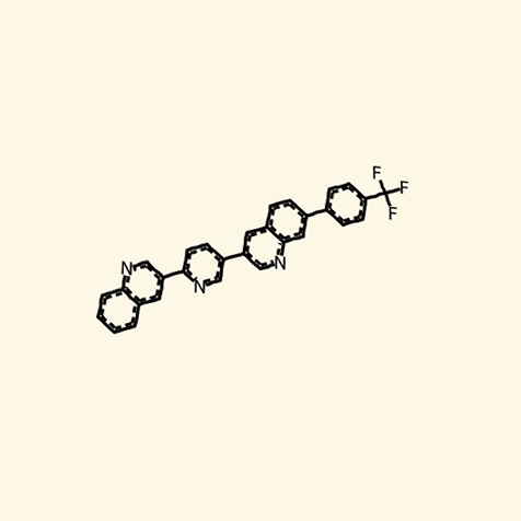 FC(F)(F)c1ccc(-c2ccc3cc(-c4ccc(-c5cnc6ccccc6c5)nc4)cnc3c2)cc1